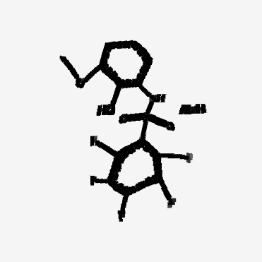 COc1cccc(NS(=O)(=O)c2c(F)c(F)c(F)c(F)c2F)c1O.[NaH]